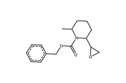 CC1CCCC(C2CO2)N1C(=O)OCc1ccccc1